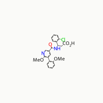 COc1ccccc1-c1cc(C(=O)NC(CC(=O)O)c2ccccc2Cl)cnc1OC